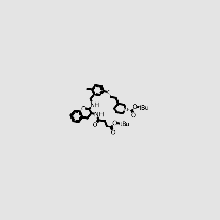 Cc1ccc(OCCC2CCCN(C(=O)OC(C)(C)C)C2)cc1CNC(=O)C(Cc1ccccc1)NC(=O)CCC(=O)OC(C)(C)C